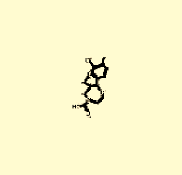 Cc1ccc(C2OCCN(C(=O)O)CC2CO)cc1Cl